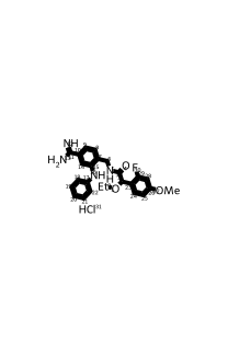 CCOC(C(=O)NCc1ccc(C(=N)N)cc1Nc1ccccc1)c1ccc(OC)cc1F.Cl